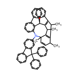 CC1C=CC2(C)C3=C1C(C)C1=C(C3C)C3(c4ccccc41)c1ccccc1-c1cccc(c13)N2c1ccc2c(c1)C(c1ccccc1)(c1ccccc1)c1ccccc1-2